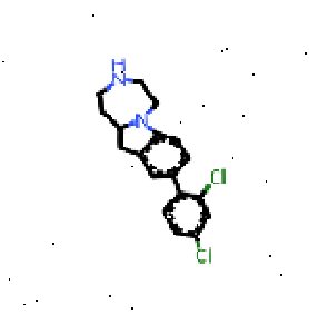 Clc1ccc(-c2ccc3c(c2)CC2CCNCCN32)c(Cl)c1